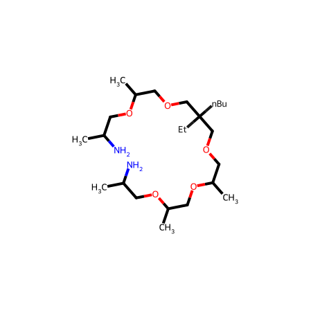 CCCCC(CC)(COCC(C)OCC(C)N)COCC(C)OCC(C)OCC(C)N